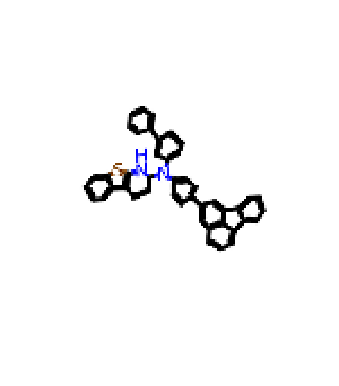 C1=CC(N(c2ccc(-c3cc4c5c(cccc5c3)-c3ccccc3-4)cc2)c2cccc(-c3ccccc3)c2)Nc2sc3ccccc3c21